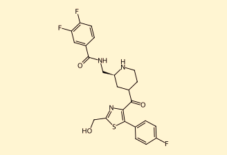 O=C(NC[C@@H]1CC(C(=O)c2nc(CO)sc2-c2ccc(F)cc2)CCN1)c1ccc(F)c(F)c1